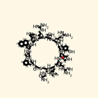 CC[C@@H]1NC(=O)[C@H](Cc2ccccc2)NC(=O)CSC[C@@H](C(=O)NCC(N)=O)NC(=O)[C@H](Cc2cncn2C)NC(=O)[C@H](CCCNC(=N)N)NC(=O)[C@H](Cc2c[nH]cn2)NC(=O)[C@H](Cc2ccc(O)cc2)N(C)C(=O)[C@H](CCCNC(=N)N)NC(=O)[C@H](CO)NC(=O)[C@H](CCCNC(=N)N)NC(=O)[C@H](Cc2c[nH]cn2)NC(=O)[C@H](Cc2cccc3ccccc23)NC1=O